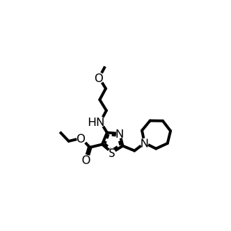 CCOC(=O)c1sc(CN2CCCCCC2)nc1NCCCOC